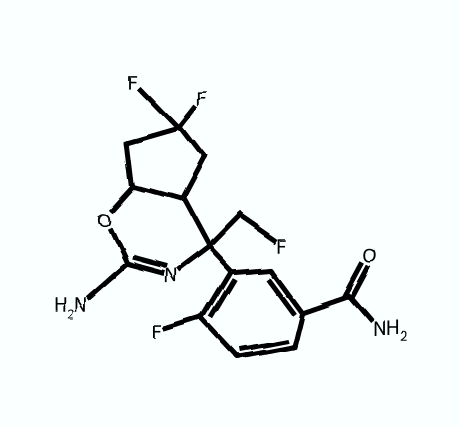 NC(=O)c1ccc(F)c(C2(CF)N=C(N)OC3CC(F)(F)CC32)c1